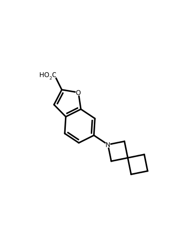 O=C(O)c1cc2ccc(N3CC4(CCC4)C3)cc2o1